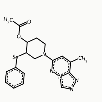 CC(=O)OC1CCN(c2cc(C)c3nncn3n2)CC1[Se]c1ccccc1